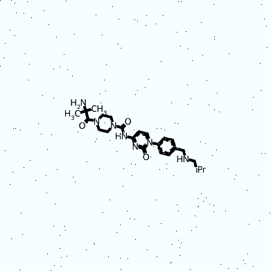 CC(C)CNCc1ccc(-n2ccc(NC(=O)N3CCN(C(=O)C(C)(C)N)CC3)nc2=O)cc1